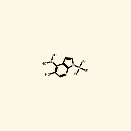 CC(C)S(C(C)C)(C(C)C)n1ccc2c(B(O)O)c(O)cnc21